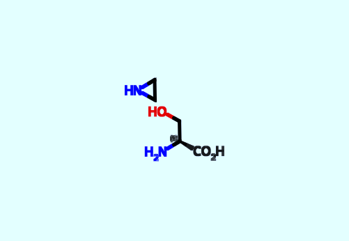 C1CN1.N[C@@H](CO)C(=O)O